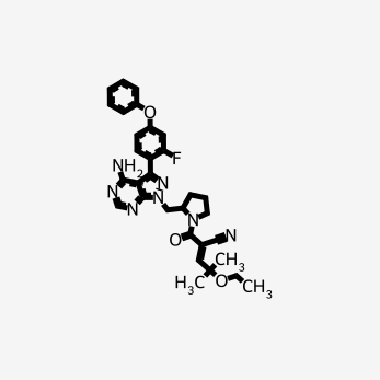 CCOC(C)(C)C=C(C#N)C(=O)N1CCCC1Cn1nc(-c2ccc(Oc3ccccc3)cc2F)c2c(N)ncnc21